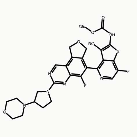 CC(C)(C)OC(=O)Nc1sc2c(F)cnc(-c3c4c(c5cnc(N6CCC(N7CCOCC7)C6)nc5c3F)COC4)c2c1C#N